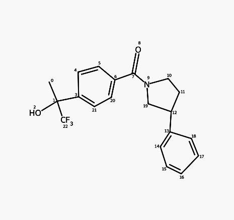 CC(O)(c1ccc(C(=O)N2CCC(c3ccccc3)C2)cc1)C(F)(F)F